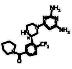 Nc1cc(N2CCN[C@H](c3cc(C(=O)N4CCCCC4)ccc3C(F)(F)F)C2)nc(N)n1